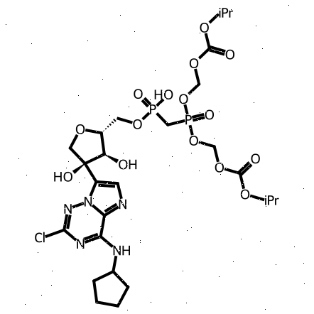 CC(C)OC(=O)OCOP(=O)(CP(=O)(O)OC[C@H]1OC[C@@](O)(c2cnc3c(NC4CCCC4)nc(Cl)nn23)[C@@H]1O)OCOC(=O)OC(C)C